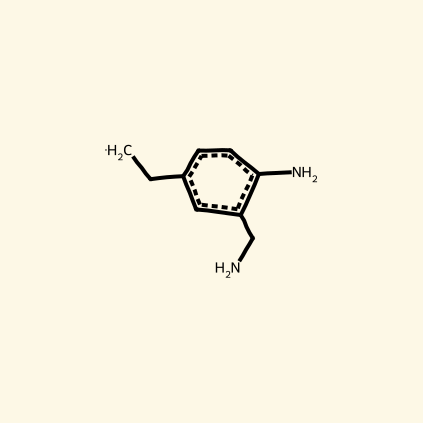 [CH2]Cc1ccc(N)c(CN)c1